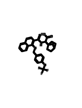 O=C(NC(C(=O)O)C12CCC(CC1)C2)c1ccc2ccccc2c1OCc1ccc(OC(F)(F)F)cc1